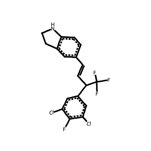 Fc1c(Cl)cc(C(C=Cc2ccc3c(c2)CCN3)C(F)(F)F)cc1Cl